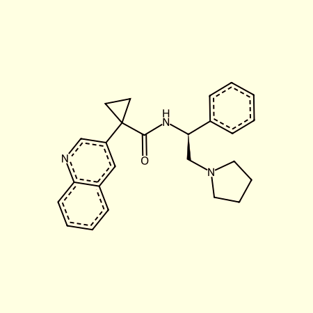 O=C(N[C@H](CN1CCCC1)c1ccccc1)C1(c2cnc3ccccc3c2)CC1